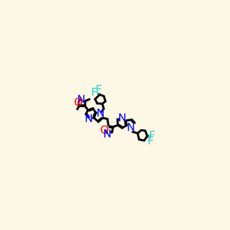 Cc1noc(C)c1-c1cnc2cc(Cc3oncc3-c3cnc4ccn(CC5CCC(F)(F)CC5)c4c3)n(CC3CCC(F)(F)CC3)c2c1